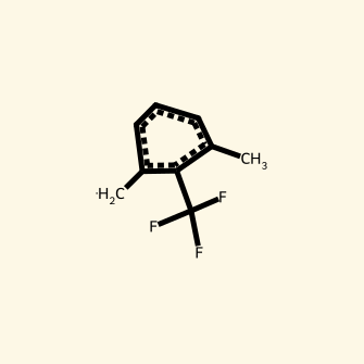 [CH2]c1cccc(C)c1C(F)(F)F